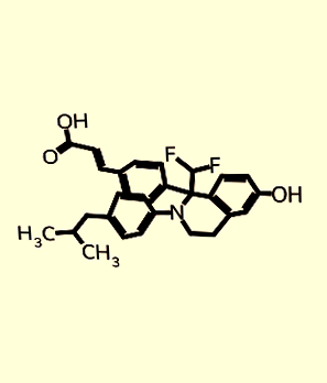 CC(C)Cc1ccc(N2CCc3cc(O)ccc3C2(c2ccc(/C=C/C(=O)O)cc2)C(F)F)cc1